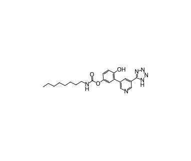 CCCCCCCCNC(=O)Oc1ccc(O)c(-c2cncc(-c3nnn[nH]3)c2)c1